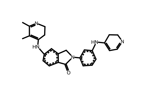 CC1=NCCC(Nc2ccc3c(c2)CN(c2cccc(NC4=CC=NCC4)c2)C3=O)=C1C